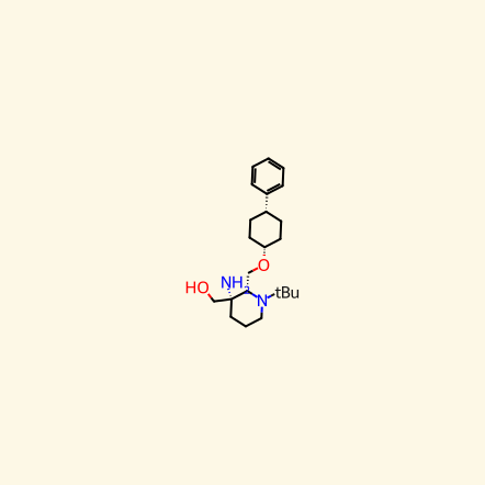 CC(C)(C)N1CCC[C@@](N)(CO)[C@@H]1CO[C@H]1CC[C@@H](c2ccccc2)CC1